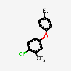 [CH2]Cc1ccc(Oc2ccc(Cl)c(C(F)(F)F)c2)cc1